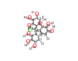 COc1c(C)cc([Si](Cl)(c2cc(C)c(OC)c(OC)c2OC)c2cc(C)c(OC)c(OC)c2OC)c(OC)c1OC